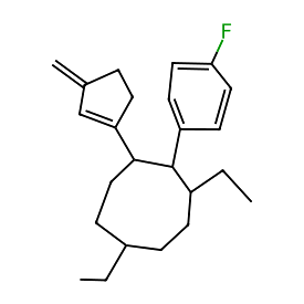 C=C1C=C(C2CCC(CC)CCC(CC)C2c2ccc(F)cc2)CC1